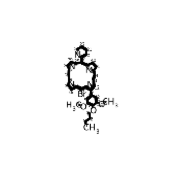 CCCCOc1c(OC)cc(C2=CC3=CC4=NC(=C(c5ccccn5)C5=NC(=CC6=NC(=C(Br)C2=N3)C=C6)C=C5)C=C4)cc1OC